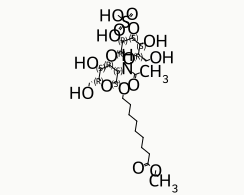 COC(=O)CCCCCCCCO[C@H]1O[C@H](CO)[C@@H](O)[C@H](O[C@@H]2O[C@H](CO)[C@H](O)[C@H](OS(=O)(=O)O)[C@H]2O)[C@@H]1NC(C)=O